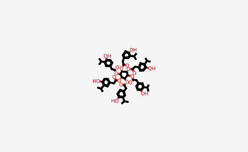 CC(C)c1cc(CC(=O)OC2C(OC(=O)Cc3ccc(O)c(C(C)C)c3)C(OC(=O)Cc3ccc(O)c(C(C)C)c3)C(OC(=O)Cc3ccc(O)c(C(C)C)c3)C(OC(=O)Cc3ccc(O)c(C(C)C)c3)C2OC(=O)Cc2ccc(O)c(C(C)C)c2)ccc1O